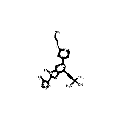 CCn1c(-c2nonc2N)nc2c(C#CC(C)(C)O)nc(-c3cccc(OCCN)c3)cc21